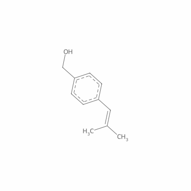 CC(C)=Cc1ccc(CO)cc1